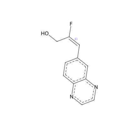 OC/C(F)=C\c1ccc2nccnc2c1